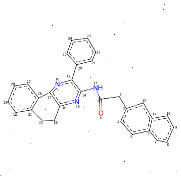 O=C(Cc1ccc2ccccc2c1)Nc1nc2c(nc1-c1ccccc1)-c1ccccc1CC2